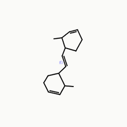 CC1C=CCCC1/C=C/C1CCC=CC1C